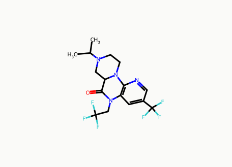 CC(C)N1CCN2c3ncc(C(F)(F)F)cc3N(CC(F)(F)F)C(=O)C2C1